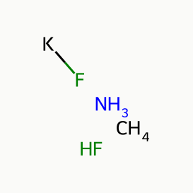 C.F.N.[F][K]